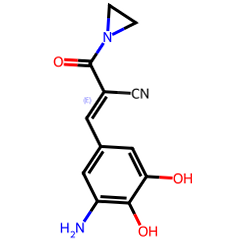 N#C/C(=C\c1cc(N)c(O)c(O)c1)C(=O)N1CC1